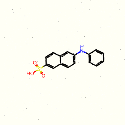 O=S(=O)(O)c1[c][c]c2cc(Nc3ccccc3)ccc2c1